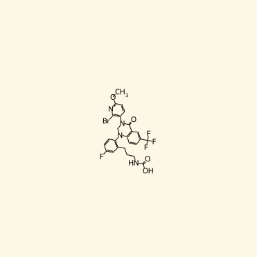 COc1ccc(N2CN(c3ccc(F)cc3CCCNC(=O)O)c3ccc(C(F)(F)F)cc3C2=O)c(Br)n1